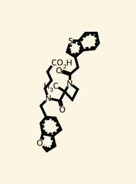 CC1(C(=O)N(CCCC(=O)O)Cc2ccc3ccoc3c2)CCN1C(=O)Cc1csc2ccccc12